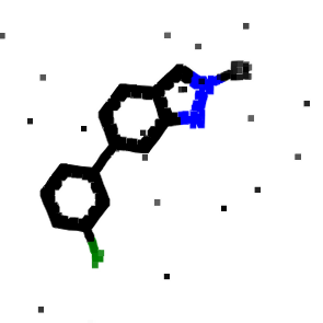 CCn1cc2ccc(-c3cccc(F)c3)cc2n1